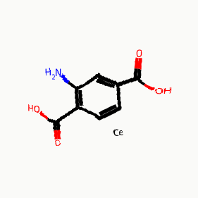 Nc1cc(C(=O)O)ccc1C(=O)O.[Ce]